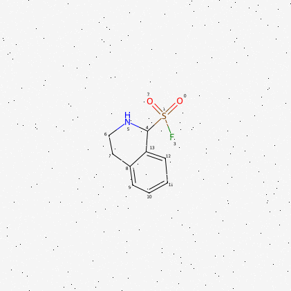 O=S(=O)(F)C1NCCc2ccccc21